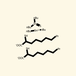 CC(C)CCCCCC(S)C(=O)[O-].CC(C)CCCCCC(S)C(=O)[O-].CCC[CH2][Sn+2][CH2]CCC.CCC[CH2][Sn](=[S])[CH2]CCC